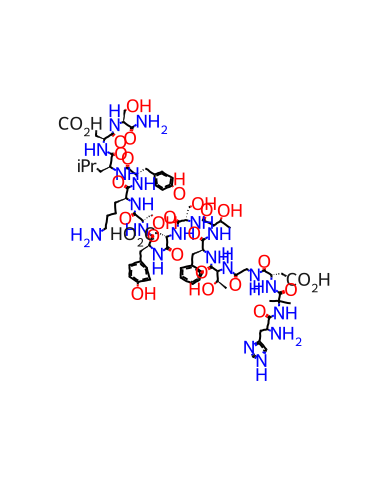 CC(C)C[C@H](NC(=O)[C@H](Cc1ccc(O)cc1)NC(=O)[C@H](CCCCN)NC(=O)[C@H](CO)NC(=O)[C@H](Cc1ccc(O)cc1)NC(=O)[C@H](CC(=O)O)NC(=O)[C@H](CO)NC(=O)[C@@H](NC(=O)[C@H](Cc1ccccc1)NC(=O)C(NC(=O)CNC(=O)[C@H](CC(=O)O)NC(=O)C(C)(C)NC(=O)[C@@H](N)Cc1c[nH]cn1)[C@@H](C)O)C(C)O)C(=O)N[C@@H](CC(=O)O)C(=O)N[C@@H](CO)C(N)=O